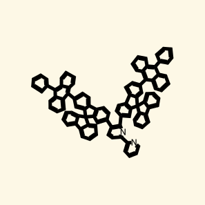 c1ccc(-c2c3ccccc3c(-c3ccc4c(c3)C3(c5ccccc5-c5ccccc53)c3cc(-c5ccc(-c6ccccn6)nc5-c5ccc6c(c5)C5(c7ccccc7-c7ccccc75)c5cc(-c7c8ccccc8c(-c8ccccc8)c8ccccc78)ccc5-6)ccc3-4)c3ccccc23)cc1